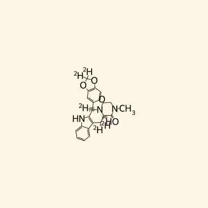 [2H]C1([2H])Oc2ccc([C@]3([2H])c4[nH]c5ccccc5c4C([2H])([2H])[C@@H]4C(=O)N(C)CC(=O)N43)cc2O1